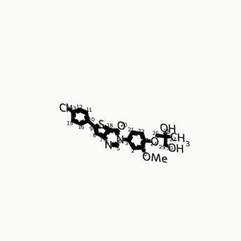 COc1cc(-n2cnc3cc(-c4ccc(Cl)cc4)sc3c2=O)ccc1OCC(C)(O)CO